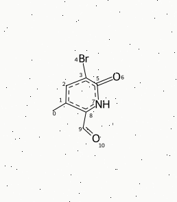 Cc1cc(Br)c(=O)[nH]c1C=O